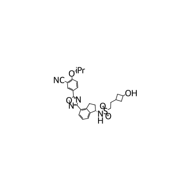 CC(C)Oc1ccc(-c2nc(-c3cccc4c3CC[C@@H]4NS(=O)(=O)CCC3CC(O)C3)no2)cc1C#N